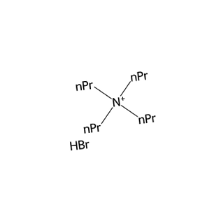 Br.CCC[N+](CCC)(CCC)CCC